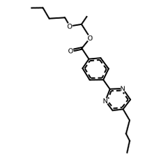 CCCCOC(C)OC(=O)c1ccc(-c2ncc(CCCC)cn2)cc1